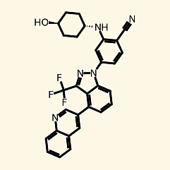 N#Cc1ccc(-n2nc(C(F)(F)F)c3c(-c4cnc5ccccc5c4)cccc32)cc1N[C@H]1CC[C@H](O)CC1